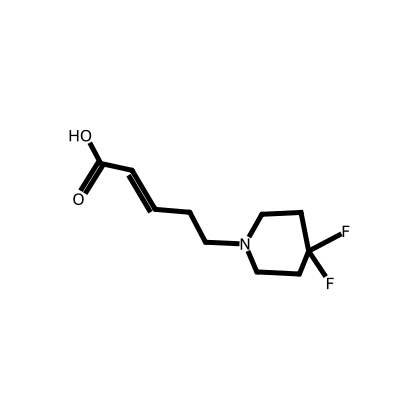 O=C(O)C=CCCN1CCC(F)(F)CC1